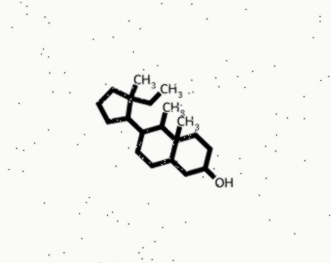 CCC1(C)CCCC1C1CCC2CC(O)CCC2(C)C1C